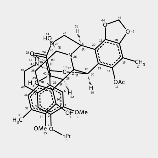 CCCOc1cc2c(cc1OC)[C@@]1(CS[C@@H]3c4c(OC(C)=O)c(C)c5c(c4[C@H](COC1=O)N1C3[C@H]3c4c(cc(C)c(OC)c4O)C[C@@H]([C@@H]1O)N3C)OCO5)NCC2